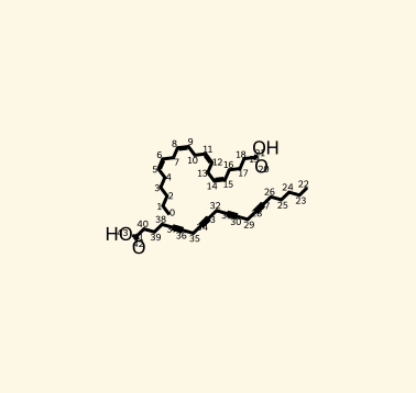 CCCCC/C=C\C/C=C\C/C=C\C/C=C\CCCC(=O)O.CCCCCC#CCC#CCC#CCC#CCCCC(=O)O